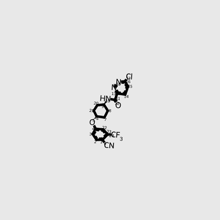 N#Cc1ccc(O[C@H]2CC[C@H](NC(=O)c3ccc(Cl)nn3)CC2)cc1C(F)(F)F